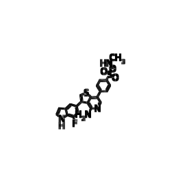 CNOS(=O)(=O)c1ccc(-c2cnc(N)c3c(-c4cc(F)c5[nH]ccc5c4)csc23)cc1